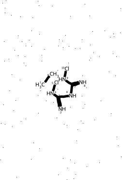 CC.N=C(NCl)NC(=N)NCl